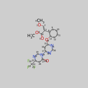 COC=C(C(=O)OC)c1ccccc1Oc1cc(-n2cnc(C(F)(F)F)cc2=O)ncn1